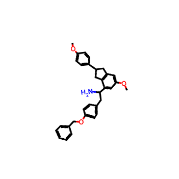 COc1ccc(C2Cc3cc(OC)cc(C(N)Cc4ccc(OCc5ccccc5)cc4)c3C2)cc1